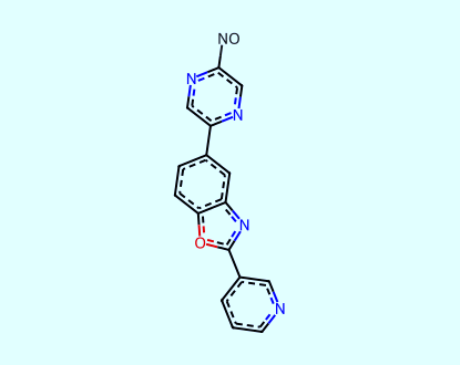 O=Nc1cnc(-c2ccc3oc(-c4cccnc4)nc3c2)cn1